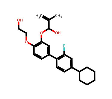 C=C(C)C(O)Oc1cc(-c2ccc(C3CCCCC3)cc2F)ccc1OCCO